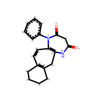 O=C1CC(=O)N(c2ccccc2)C2=C(CC3=C(C=C2)CCCC3)N1